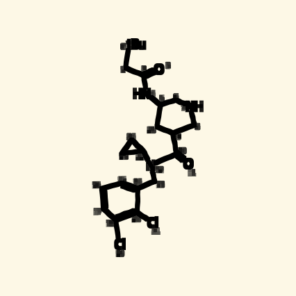 CC(C)(C)CC(=O)NC1CNCC(C(=O)N(Cc2cccc(Cl)c2Cl)C2CC2)C1